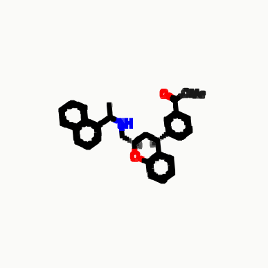 COC(=O)c1cccc([C@H]2C[C@@H](CNC(C)c3cccc4ccccc34)Oc3ccccc32)c1